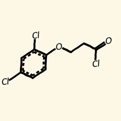 O=C(Cl)CCOc1ccc(Cl)cc1Cl